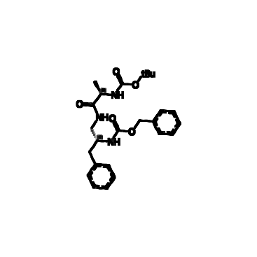 C[C@@H](NC(=O)OC(C)(C)C)C(=O)NC[C@@H](Cc1ccccc1)NC(=O)OCc1ccccc1